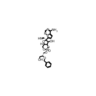 N=C[C@@]1(c2ccc3c(N)ncnn23)O[C@@H]2COP(=O)(OC[C@@H](CO)OCc3ccccc3)OC2C1O